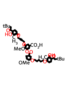 COc1ccc(C(=O)Oc2cc(C(=O)O)cc(OCC#CCOc3ccc(C(=O)CC(C)(C)C)c(O)c3C)c2OC)cc1OCCCCCOc1ccc(C(=O)CC(C)(C)C)c(O)c1C